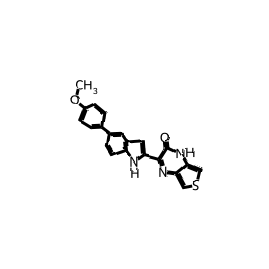 COc1ccc(-c2ccc3[nH]c(-c4nc5cscc5[nH]c4=O)cc3c2)cc1